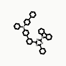 c1ccc(-c2ccc(N(c3ccccc3)c3ccc(-c4cccc(-c5nc(-c6ccccc6)nc(-n6c7ccccc7c7ccccc76)n5)c4)cc3)cc2)cc1